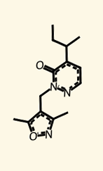 CCC(C)c1ccnn(Cc2c(C)noc2C)c1=O